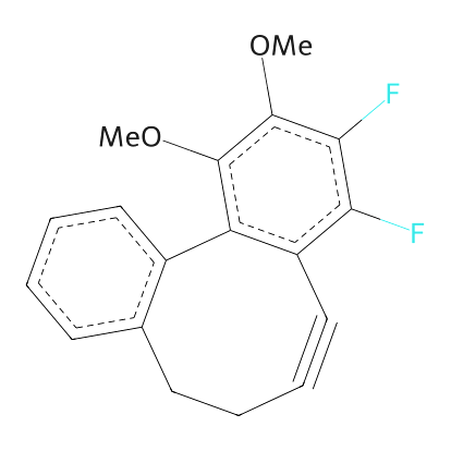 COc1c(F)c(F)c2c(c1OC)-c1ccccc1CCC#C2